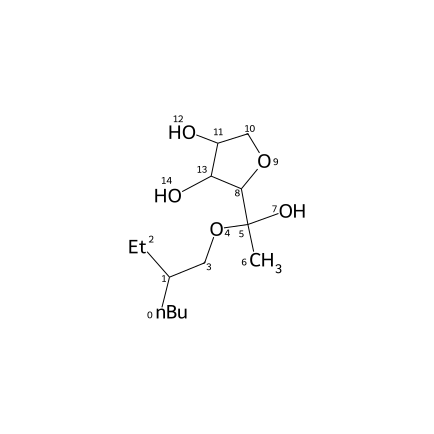 CCCCC(CC)COC(C)(O)C1OCC(O)C1O